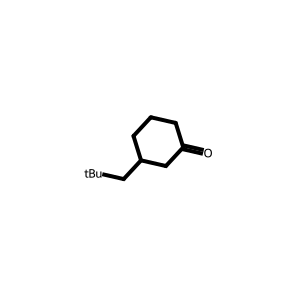 CC(C)(C)CC1CCCC(=O)C1